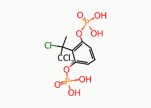 CC(Cl)(c1c(OP(=O)(O)O)cccc1OP(=O)(O)O)C(Cl)(Cl)Cl